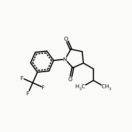 CC(C)CC1CC(=O)N(c2cccc(C(F)(F)F)c2)C1=O